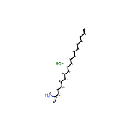 CCCCCCCCCCCCCCCCCCC(C)N.Cl